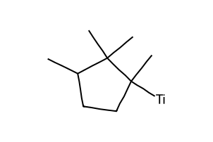 CC1CC[C](C)([Ti])C1(C)C